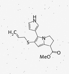 C=CCSc1cc2n(c1-c1cc[nH]c1)CCC2C(=O)OC